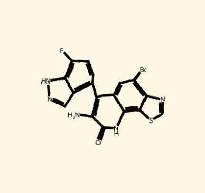 Nc1c(-c2ccc(F)c3[nH]ncc23)c2cc(Br)c3ncsc3c2[nH]c1=O